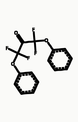 O=C(C(F)(F)Oc1ccccc1)C(F)(F)Oc1ccccc1